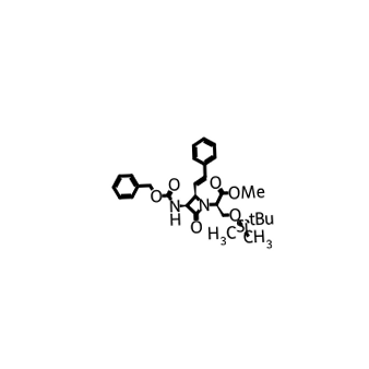 COC(=O)[C@@H](CO[Si](C)(C)C(C)(C)C)N1C(=O)[C@@H](NC(=O)OCc2ccccc2)[C@H]1C=Cc1ccccc1